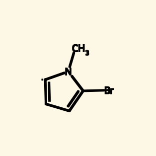 Cn1[c]ccc1Br